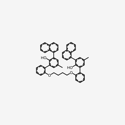 Cc1cc(-c2ccccc2OCCCCOc2ccccc2-c2cc(C)cc(-c3cccc4ccccc34)c2O)c(O)c(-c2cccc3ccccc23)c1